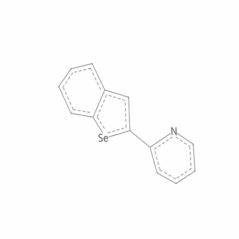 c1ccc(-c2cc3ccccc3[se]2)nc1